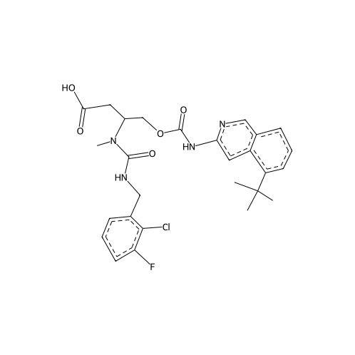 CN(C(=O)NCc1cccc(F)c1Cl)C(COC(=O)Nc1cc2c(C(C)(C)C)cccc2cn1)CC(=O)O